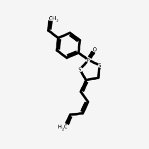 C=C/C=C\C=C1/CSP(=O)(c2ccc(C=C)cc2)S1